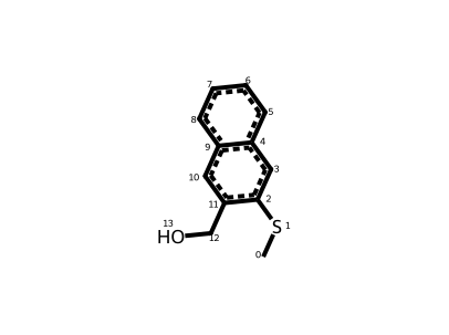 CSc1cc2ccccc2cc1CO